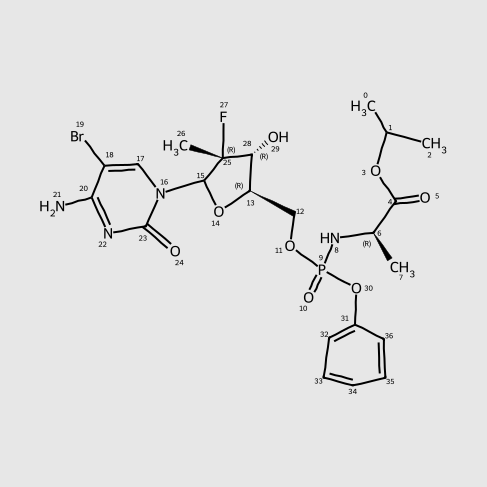 CC(C)OC(=O)[C@@H](C)NP(=O)(OC[C@H]1OC(n2cc(Br)c(N)nc2=O)[C@](C)(F)[C@@H]1O)Oc1ccccc1